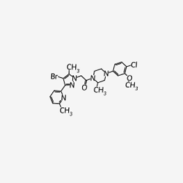 COc1cc(N2CCN(C(=O)Cn3nc(-c4cccc(C)n4)c(Br)c3C)C(C)C2)ccc1Cl